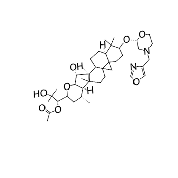 CC(=O)O[C@@H](C1C[C@@H](C)[C@H]2C(O1)[C@H](O)[C@@]1(C)C3CC[C@H]4C(C)(C)C(O[C@H]5CN(Cc6cocn6)CCO5)CCC45CC35CCC21C)C(C)(C)O